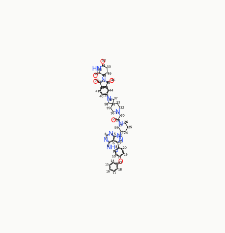 Nc1ncnc2c1c(-c1ccc(Oc3ccccc3)cc1)nn2C1CCCN(C(=O)CN2CCC3(CC2)CN(c2ccc4c(c2)C(=O)N(C2CCC(=O)NC2=O)C4=O)C3)C1